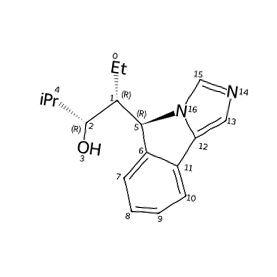 CC[C@@H]([C@H](O)C(C)C)[C@@H]1c2ccccc2-c2cncn21